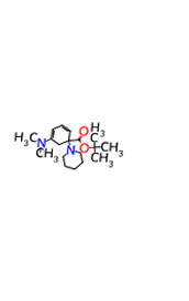 CN(C)C1=CC=CC(C(=O)OC(C)(C)C)(N2CCCCC2)C1